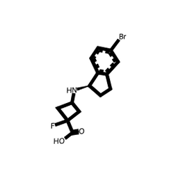 O=C(O)C1(F)CC(N[C@@H]2CCc3cc(Br)ccc32)C1